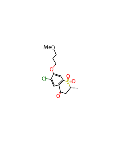 COCCCOc1cc2c(cc1Cl)C(=O)CC(C)S2(=O)=O